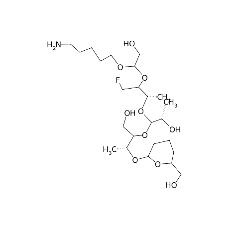 C[C@H](O)C(OC(CO)[C@@H](C)OC1CCCC(CO)O1)O[C@@H](C)C(CF)OC(CO)OCCCCCN